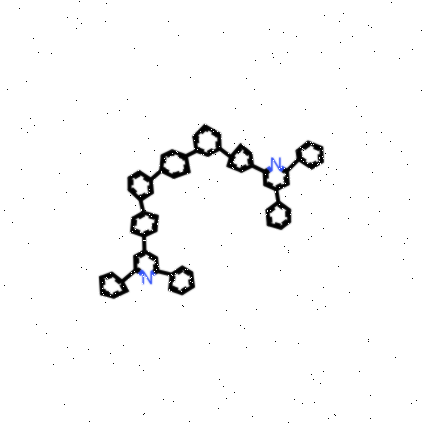 c1ccc(-c2cc(-c3ccccc3)nc(-c3ccc(-c4cccc(-c5ccc(-c6cccc(-c7ccc(-c8cc(-c9ccccc9)nc(-c9ccccc9)c8)cc7)c6)cc5)c4)cc3)c2)cc1